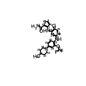 NC(=O)c1sccc1Nc1nc(Nc2ccc(N3CCC(O)CC3)cc2OC(F)F)ncc1Cl